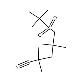 CC(C)(C#N)CC(C)(C)CS(=O)(=O)C(C)(C)C